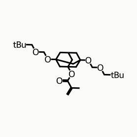 C=C(C)C(=O)OC12CC3CC(OCOCC(C)(C)C)(CC(OCOCC(C)(C)C)(C3)C1)C2